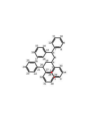 c1ccc(C(CC(c2ccccc2)c2ccccc2)CC(c2ccccc2)c2ccccc2)cc1